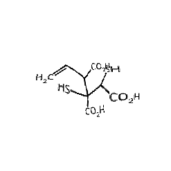 C=CC(C(=O)O)C(S)(C(=O)O)C(S)C(=O)O